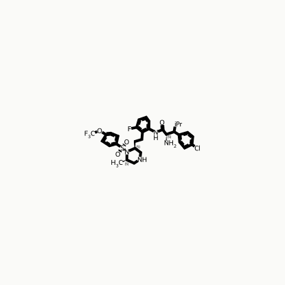 CC(C)C(c1ccc(Cl)cc1)[C@H](N)C(=O)Nc1cccc(F)c1CC[C@H]1CNC[C@H](C)N1S(=O)(=O)c1ccc(OC(F)(F)F)cc1